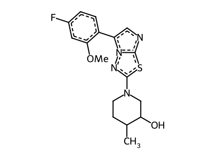 COc1cc(F)ccc1-c1cnc2sc(N3CCC(C)C(O)C3)nn12